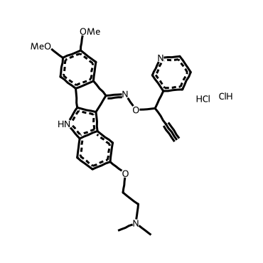 C#CC(ON=C1c2cc(OC)c(OC)cc2-c2[nH]c3ccc(OCCN(C)C)cc3c21)c1cccnc1.Cl.Cl